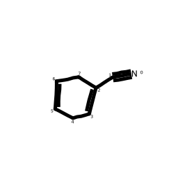 N#CC1=CCC=CC1